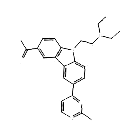 CCN(CC)CCn1c2ccc(C(C)=O)cc2c2cc(-c3ccnc(C)n3)ccc21